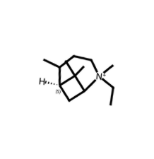 CC[N+]1(C)CCC(C)[C@@H]2CC1C2(C)C